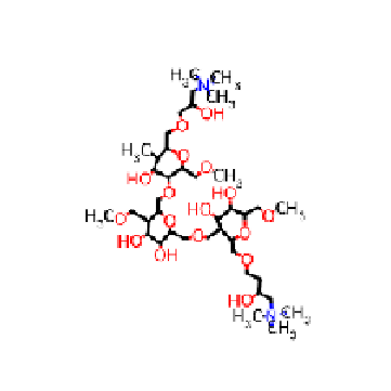 COCC1OC(COCCC(O)C[N+](C)(C)C)C(COCC2OC(COC3C(COC)OC(COCC(O)C[N+](C)(C)C)C(C)C3O)C(COC)C(O)C2O)C(O)C1O